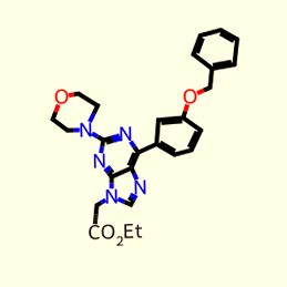 CCOC(=O)Cn1cnc2c(-c3cccc(OCc4ccccc4)c3)nc(N3CCOCC3)nc21